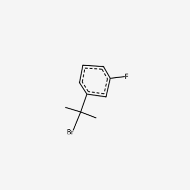 CC(C)(Br)c1cccc(F)c1